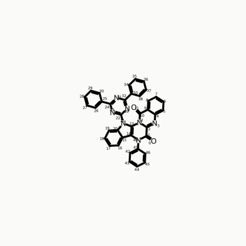 O=c1c2nc3ccccc3c(=O)n2c2c(c3ccccc3n2-c2nc(-c3ccccc3)nc(-c3ccccc3)n2)n1-c1ccccc1